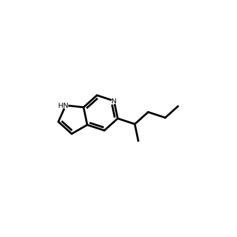 CCCC(C)c1cc2cc[nH]c2cn1